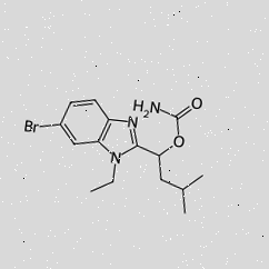 CCn1c(C(CC(C)C)OC(N)=O)nc2ccc(Br)cc21